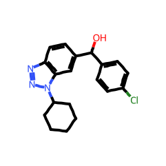 OC(c1ccc(Cl)cc1)c1ccc2nnn(C3CCCCC3)c2c1